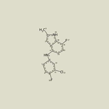 Cc1cc2c(Nc3ccc(F)c(Cl)c3)ccc(F)c2[nH]1